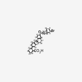 O=C(NCc1ccc(Br)cc1)c1ccc2c(c1)CCCN2Cc1ccc(-c2ccccc2C(=O)O)cc1